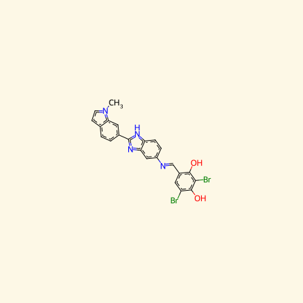 Cn1ccc2ccc(-c3nc4cc(/N=C/c5cc(Br)c(O)c(Br)c5O)ccc4[nH]3)cc21